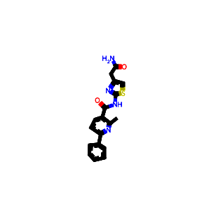 Cc1nc(-c2ccccc2)ccc1C(=O)Nc1nc(CC(N)=O)cs1